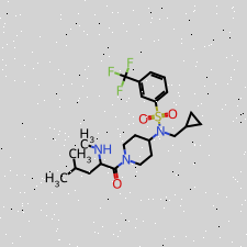 CNC(CC(C)C)C(=O)N1CCC(N(CC2CC2)S(=O)(=O)c2cccc(C(F)(F)F)c2)CC1